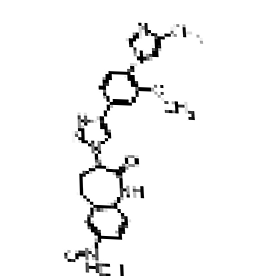 COc1cc(-c2cn(C3CCc4cc([NH+]([O-])O)ccc4NC3=O)nn2)ccc1-n1cnc(C)c1